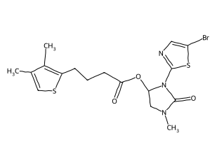 Cc1csc(CCCC(=O)OC2CN(C)C(=O)N2c2ncc(Br)s2)c1C